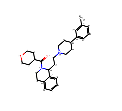 O=C(C1CCOCC1)N1CCc2ccccc2C1CCN1CCC(c2cccc(C(F)(F)F)c2)CC1